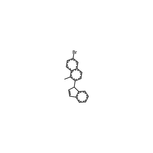 Cc1c(C2C=Cc3ccccc32)ccc2cc(Br)ccc12